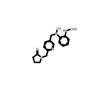 CN(Cc1ccc(CN2CCCC2=O)nc1)c1ccccc1NC=O